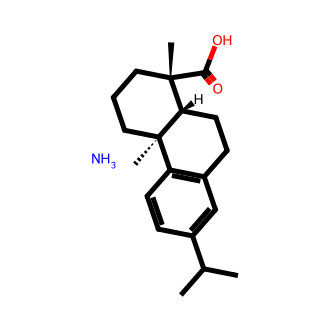 CC(C)c1ccc2c(c1)CC[C@H]1[C@@](C)(C(=O)O)CCC[C@]21C.N